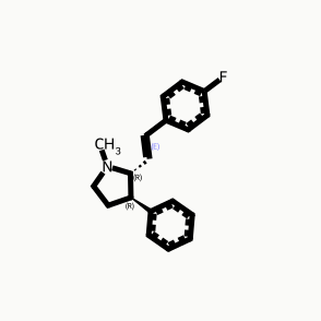 CN1CC[C@H](c2ccccc2)[C@H]1/C=C/c1ccc(F)cc1